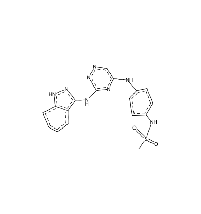 CS(=O)(=O)Nc1ccc(Nc2cnnc(Nc3n[nH]c4ccccc34)n2)cc1